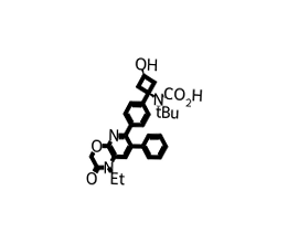 CCN1C(=O)COc2nc(-c3ccc([C@]4(N(C(=O)O)C(C)(C)C)C[C@H](O)C4)cc3)c(-c3ccccc3)cc21